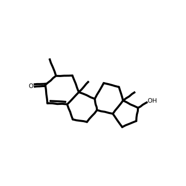 CC1CC2(C)C(=CC1=O)CCC1C2CCC2(C)C(O)CCC12